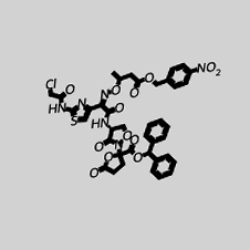 CC(CC(=O)OCc1ccc([N+](=O)[O-])cc1)O/N=C(\C(=O)N[C@H]1CON(C2(C(=O)OC(c3ccccc3)c3ccccc3)CCC(=O)O2)C1=O)c1csc(NC(=O)CCl)n1